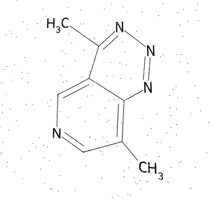 Cc1nnnc2c(C)cncc12